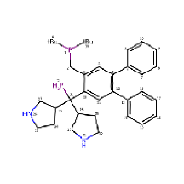 CC(C)(C)P(Cc1cc(-c2ccccc2)c(-c2ccccc2)cc1C(P)(C1CCNC1)C1CCNC1)C(C)(C)C